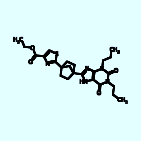 CCCn1c(=O)c2[nH]c(C34CCC(c5nc(C(=O)OCC)cs5)(CC3)C4)nc2n(CCC)c1=O